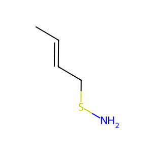 CC=CCSN